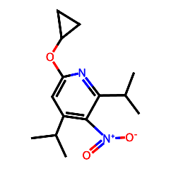 CC(C)c1cc(OC2CC2)nc(C(C)C)c1[N+](=O)[O-]